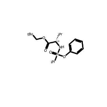 CC(C)[C@H](NP(=O)(Oc1ccccc1)C(C)C)C(=O)OCC(C)(C)C